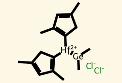 CC1=CC(C)=[C]([Hf+2]([C]2=C(C)C=C(C)C2)=[Ge]([CH3])[CH3])C1.[Cl-].[Cl-]